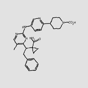 Cc1cnc(Nc2ccc(C3CCN(C(=O)O)CC3)nc2)nc1C(Cc1ccccc1)C1(C(N)=O)CC1